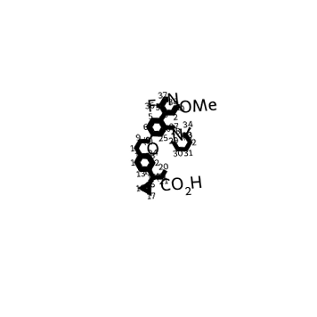 COc1cc(-c2ccc([C@@H]3CCc4ccc(C(C5CC5)[C@H](C)C(=O)O)cc4O3)cc2CN2CCCC[C@@H]2C)c(F)cn1